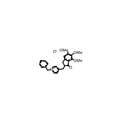 COc1cc2c(c(OC)c1OC)C(=O)C(Cc1cc[n+](Cc3ccccc3)cc1)C2.[Cl-]